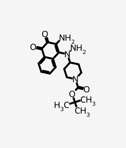 CC(C)(C)OC(=O)N1CCC(N(N)C2=C(N)C(=O)C(=O)c3ccccc32)CC1